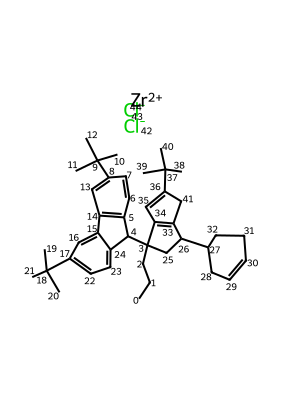 CCCC1(C2c3ccc(C(C)(C)C)cc3-c3cc(C(C)(C)C)ccc32)CC(C2CC=CCC2)C2=C1C=C(C(C)(C)C)C2.[Cl-].[Cl-].[Zr+2]